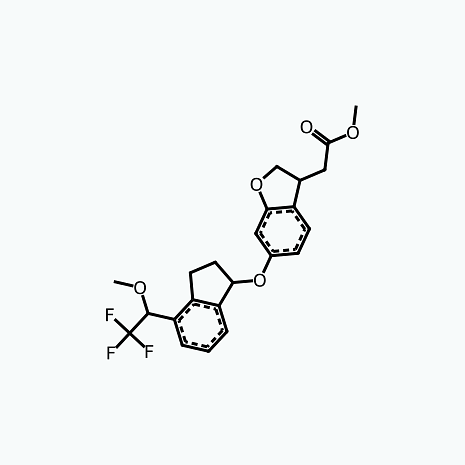 COC(=O)CC1COc2cc(OC3CCc4c3cccc4C(OC)C(F)(F)F)ccc21